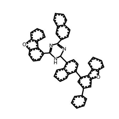 c1ccc(-c2cc(-c3ccc(C4N=C(c5ccc6ccccc6c5)N=C(c5cccc6oc7ccccc7c56)N4)c4ccccc34)c3c(c2)oc2ccccc23)cc1